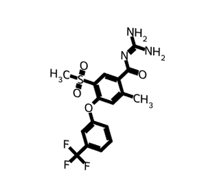 Cc1cc(Oc2cccc(C(F)(F)F)c2)c(S(C)(=O)=O)cc1C(=O)N=C(N)N